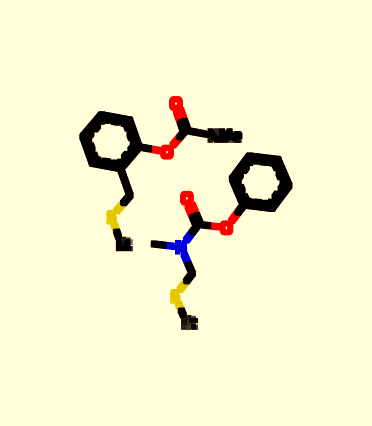 CCSCN(C)C(=O)Oc1ccccc1.CCSCc1ccccc1OC(=O)NC